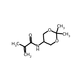 C=C(C)C(=O)NC1COC(C)(C)OC1